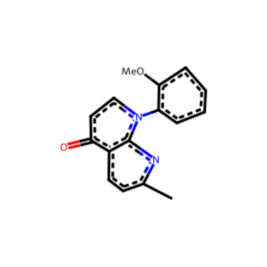 COc1ccccc1-n1ccc(=O)c2ccc(C)nc21